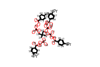 CC(C)c1ccc(C(=O)OOC(=O)OCC(COC(=O)OOC(=O)c2ccc(C(C)C)cc2)(COC(=O)OOC(=O)c2ccc(C(C)C)cc2)COC(=O)OOC(=O)c2ccc(C(C)C)cc2)cc1